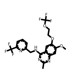 COc1cc2nc(C)nc(NCc3cccc(C(F)(F)F)n3)c2cc1OCCOC(F)(F)F